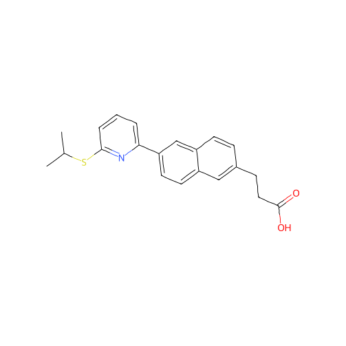 CC(C)Sc1cccc(-c2ccc3cc(CCC(=O)O)ccc3c2)n1